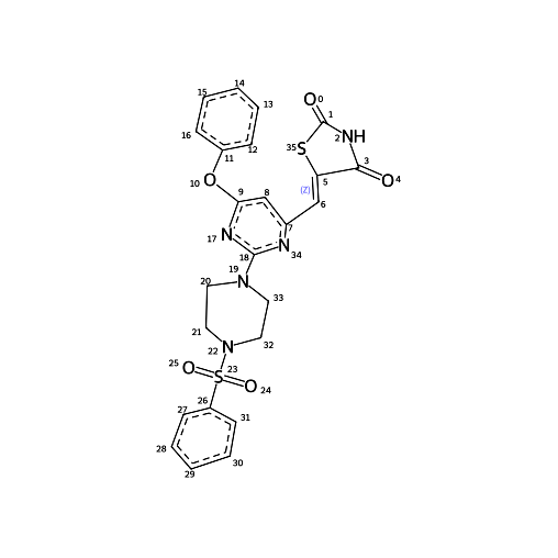 O=C1NC(=O)/C(=C/c2cc(Oc3ccccc3)nc(N3CCN(S(=O)(=O)c4ccccc4)CC3)n2)S1